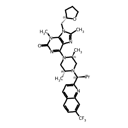 Cc1nc2c(N3C[C@@H](C)N([C@H](c4ccc5ccc(C(F)(F)F)cc5n4)C(C)C)C[C@@H]3C)nc(=O)n(C)c2n1C[C@@H]1CCCO1